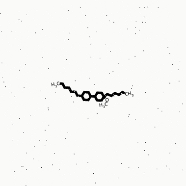 CCCCCCCC1CCC(C2CCC(CCCCCC)(OC)CC2)CC1